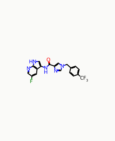 O=C(Nc1c[nH]c2ncc(F)cc12)c1cn(Cc2ccc(C(F)(F)F)cc2)cn1